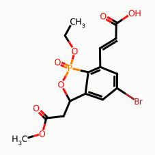 CCOP1(=O)OC(CC(=O)OC)c2cc(Br)cc(C=CC(=O)O)c21